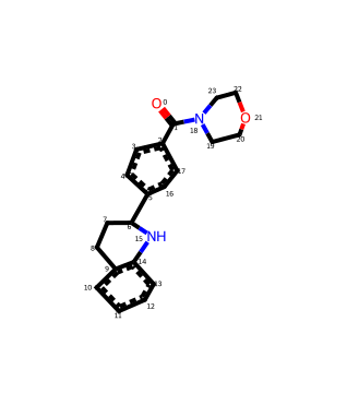 O=C(c1ccc(C2CCc3ccccc3N2)cc1)N1CCOCC1